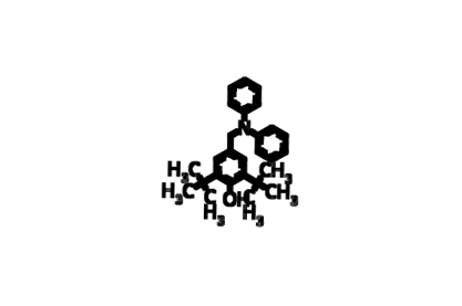 CC(C)(C)c1cc(CN(c2ccccc2)c2ccccc2)cc(C(C)(C)C)c1O